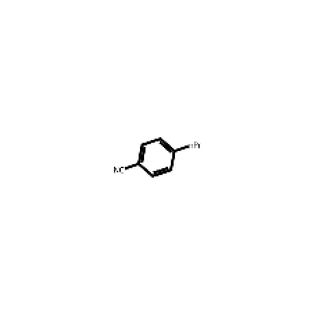 [CH2]CCc1ccc(C#N)cc1